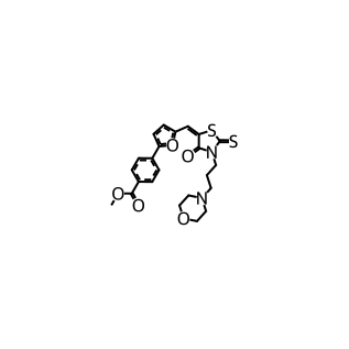 COC(=O)c1ccc(-c2ccc(C=C3SC(=S)N(CCCN4CCOCC4)C3=O)o2)cc1